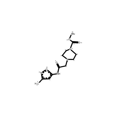 Cc1cc(NC(=O)CN2CCN(C(=O)OC(C)(C)C)CC2)on1